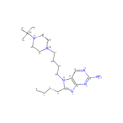 CCCCc1nc2nc(N)ncc2n1CCCCN1CCN(C(C)(C)C)CC1